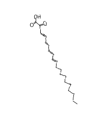 CCCCCCCCCCC=CC=CC=CC=CC(=O)C(=O)O